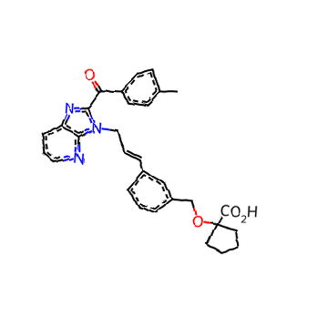 Cc1ccc(C(=O)c2nc3cccnc3n2C/C=C/c2cccc(COC3(C(=O)O)CCCC3)c2)cc1